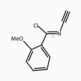 C#C/N=C(\Cl)c1ccccc1OC